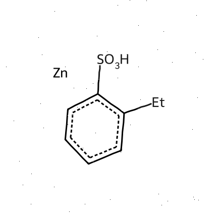 CCc1ccccc1S(=O)(=O)O.[Zn]